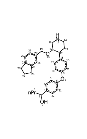 CCCC(O)c1ccc(Oc2ccc(C3CCNCC3OCc3ccc4c(c3)CCC4)cc2)cc1